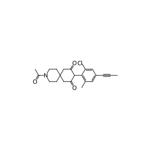 CC#Cc1cc(C)c(C2C(=O)CC3(CCN(C(C)=O)CC3)CC2=O)c(Cl)c1